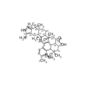 Cc1ccc(C2=C3C4CC(C)(C)CC[C@]4(C(=O)O)CC[C@@]3(C)[C@]3(C)CCC4C(C)(C)c5n[nH]c(N)c5C[C@]4(C)C3C2)cc1N